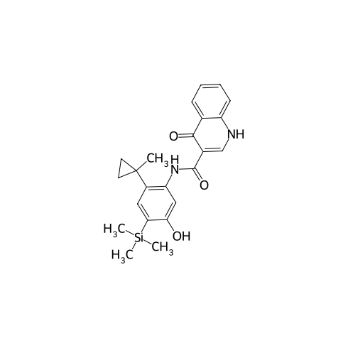 CC1(c2cc([Si](C)(C)C)c(O)cc2NC(=O)c2c[nH]c3ccccc3c2=O)CC1